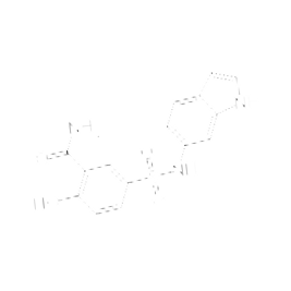 NC(=O)c1cc(S(=O)(=O)Nc2ccc3cc[nH]c3c2)ccc1O